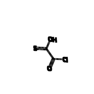 O=C(Cl)C(O)=S